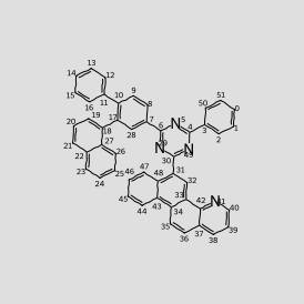 c1ccc(-c2nc(-c3ccc(-c4ccccc4)c(-c4cccc5ccccc45)c3)nc(-c3cc4c(ccc5cccnc54)c4ccccc34)n2)cc1